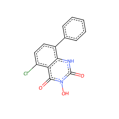 O=c1[nH]c2c(-c3ccccc3)ccc(Cl)c2c(=O)n1O